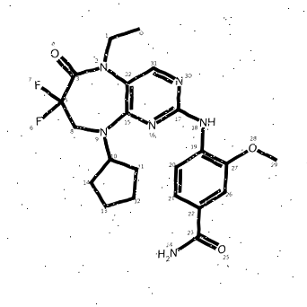 CCN1C(=O)C(F)(F)CN(C2CCCC2)c2nc(Nc3ccc(C(N)=O)cc3OC)ncc21